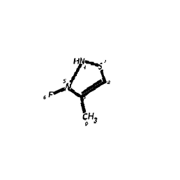 CC1=CSNN1F